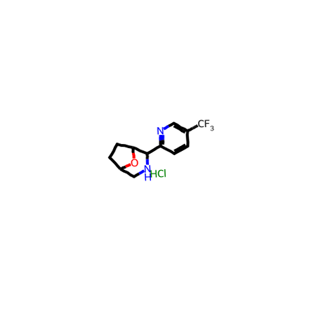 Cl.FC(F)(F)c1ccc(C2NCC3CCC2O3)nc1